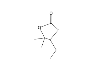 CCC1CC(=O)OC1(C)C